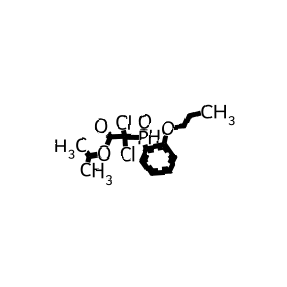 CCCOc1ccccc1[PH](=O)C(Cl)(Cl)C(=O)OC(C)C